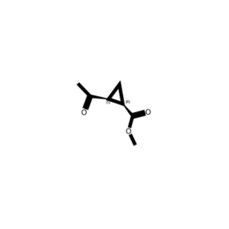 COC(=O)[C@@H]1C[C@@H]1C(C)=O